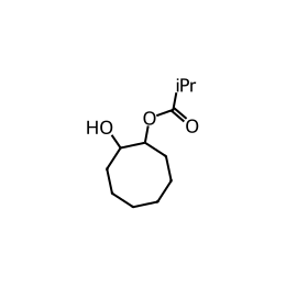 CC(C)C(=O)OC1CCCCCCC1O